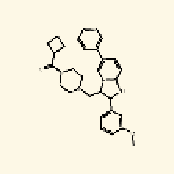 COc1cccc(C2NC3C=CC(c4ccccc4)=CN3C2CN2CCN(C(=O)C3CCC3)CC2)c1